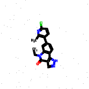 Cc1nc(Cl)ccc1-c1ccc2c3[nH]ncc3c(=O)n(CC(F)(F)F)c2c1